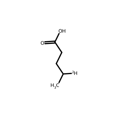 [2H]C(C)CCC(=O)O